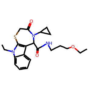 CCOCCCNC(=O)C1c2c(n(CC)c3ccccc23)SCC(=O)N1C1CC1